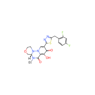 CCN1C(=O)c2c(O)c(=O)c(-c3nnc(Cc4ccc(F)cc4F)s3)cn2N2CCOC[C@@H]12